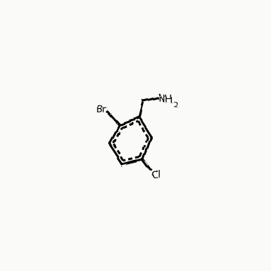 NCc1cc(Cl)[c]cc1Br